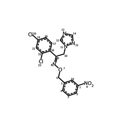 O=[N+]([O-])c1cccc(CO/N=C(\Cn2cncn2)c2ccc(Cl)cc2Cl)c1